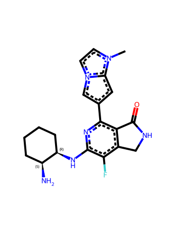 Cn1ccn2cc(-c3nc(N[C@@H]4CCCC[C@@H]4N)c(F)c4c3C(=O)NC4)cc12